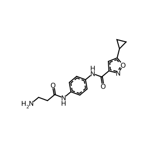 NCCC(=O)Nc1ccc(NC(=O)c2cc(C3CC3)on2)cc1